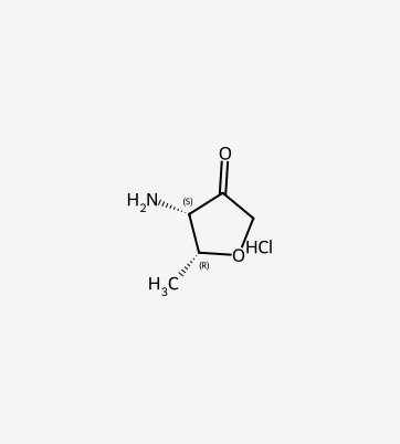 C[C@H]1OCC(=O)[C@H]1N.Cl